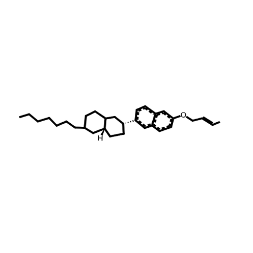 C/C=C/COc1ccc2cc([C@@H]3CC[C@@H]4CC(CCCCCCC)CCC4C3)ccc2c1